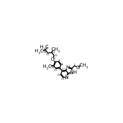 COCc1nc2c(-c3ccc(OCC(C)CC(C)C)c(C)c3)ccnc2[nH]1